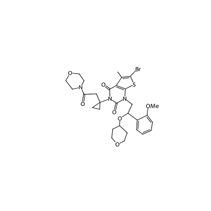 COc1ccccc1C(Cn1c(=O)n(C2(CC(=O)N3CCOCC3)CC2)c(=O)c2c(C)c(Br)sc21)OC1CCOCC1